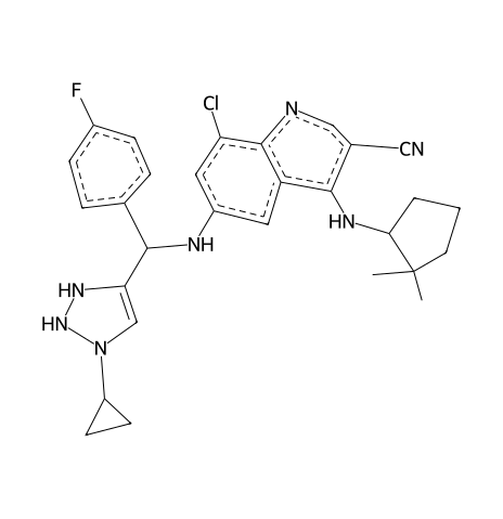 CC1(C)CCCC1Nc1c(C#N)cnc2c(Cl)cc(NC(C3=CN(C4CC4)NN3)c3ccc(F)cc3)cc12